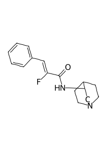 O=C(NC1CN2CCC1CC2)/C(F)=C/c1ccccc1